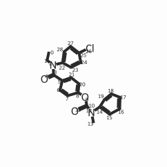 CCN(C(=O)c1ccc(OC(=O)N(C)c2ccccc2)cc1)c1ccc(Cl)cc1